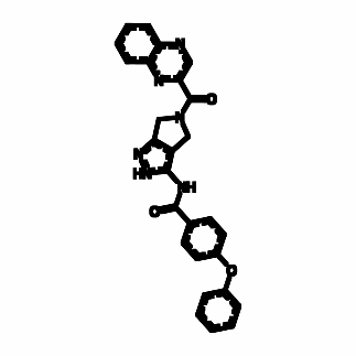 O=C(Nc1[nH]nc2c1CN(C(=O)c1cnc3ccccc3n1)C2)c1ccc(Oc2ccccc2)cc1